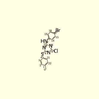 Cc1ccc(Sc2nc(Cl)nc(Nc3ccc(Br)cc3)n2)cc1